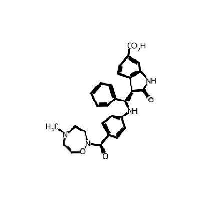 CN1CCON(C(=O)c2ccc(N/C(=C3\C(=O)Nc4cc(C(=O)O)ccc43)c3ccccc3)cc2)CC1